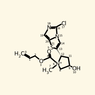 C=CCOC(=O)[N+]1(C)C[C@H](O)C[C@H]1c1cn2c(Cl)ncc2s1